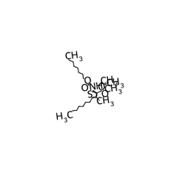 CCCCCCCCOC(=O)Nc1sc(CCCCCCC)c(C)c1C(=O)OC(C)(C)C